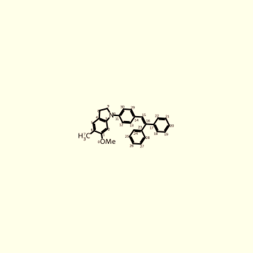 COc1cc2c(cc1C)CCN2c1ccc(C=C(c2ccccc2)c2ccccc2)cc1